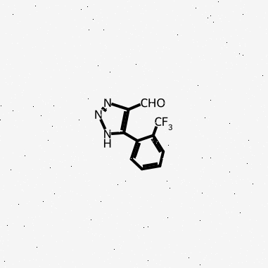 O=Cc1nn[nH]c1-c1ccccc1C(F)(F)F